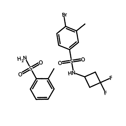 Cc1cc(S(=O)(=O)NC2CC(F)(F)C2)ccc1Br.Cc1ccccc1S(N)(=O)=O